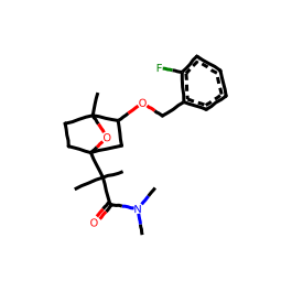 CN(C)C(=O)C(C)(C)C12CCC(C)(O1)C(OCc1ccccc1F)C2